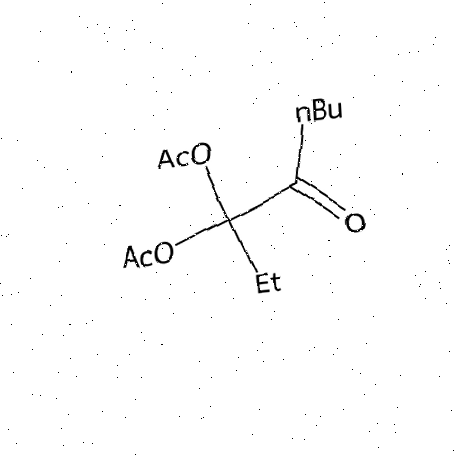 CCCCC(=O)C(CC)(OC(C)=O)OC(C)=O